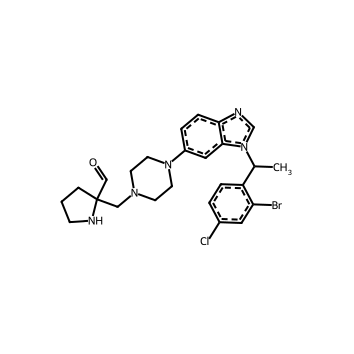 CC(c1ccc(Cl)cc1Br)n1cnc2ccc(N3CCN(CC4(C=O)CCCN4)CC3)cc21